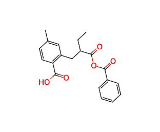 CCC(Cc1cc(C)ccc1C(=O)O)C(=O)OC(=O)c1ccccc1